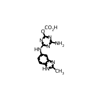 Cc1nc2cc(Nc3nc(N)nc(OC(=O)O)n3)ccc2[nH]1